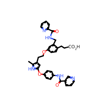 Cc1[nH]c(Oc2ccc(NC(=O)c3cccnc3)cc2)cc1CCOc1ccc(CCC(=O)O)c(CNC(=O)c2ccccn2)c1